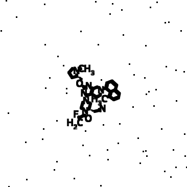 C=C(F)C(=O)N1CCN(c2nc(OC[C@@H]3CCCN3C)nc3c2CCN(c2cccc4cccc(C)c24)C3)C[C@@H]1CC#N